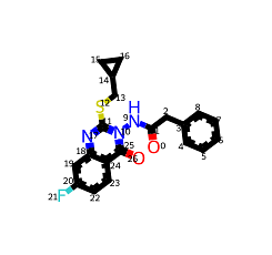 O=C(Cc1ccccc1)Nn1c(SCC2CC2)nc2cc(F)ccc2c1=O